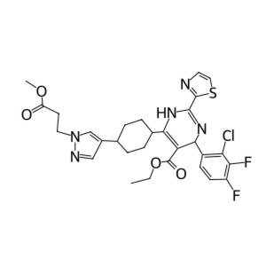 CCOC(=O)C1=C(C2CCC(c3cnn(CCC(=O)OC)c3)CC2)NC(c2nccs2)=NC1c1ccc(F)c(F)c1Cl